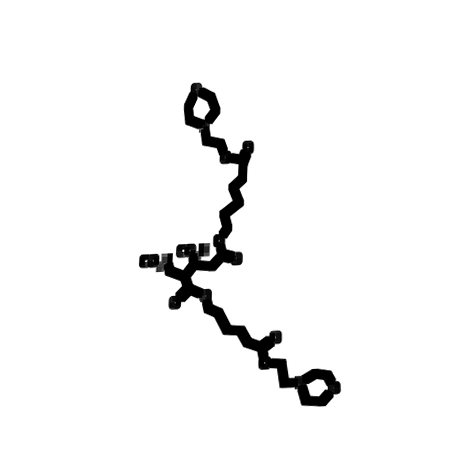 O=C(O)CC(C(=O)OCCCCCC(=O)OCCN1CCOCC1)C(CC(=O)OCCCCCC(=O)OCCN1CCOCC1)C(=O)O